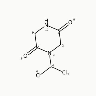 O=C1CN(C(Cl)Cl)C(=O)CN1